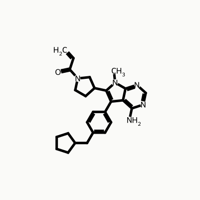 C=CC(=O)N1CCC(c2c(-c3ccc(CC4CCCC4)cc3)c3c(N)ncnc3n2C)C1